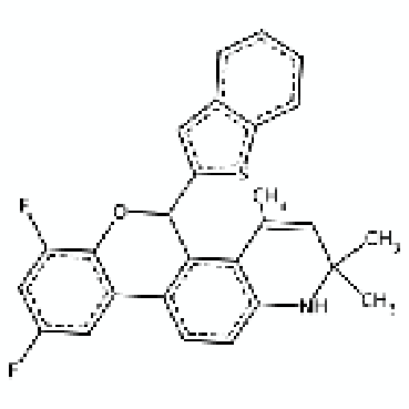 CC1=CC(C)(C)Nc2ccc3c(c21)C(c1cc2ccccc2s1)Oc1c(F)cc(F)cc1-3